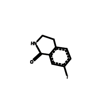 O=C1NCCc2ccc(I)cc21